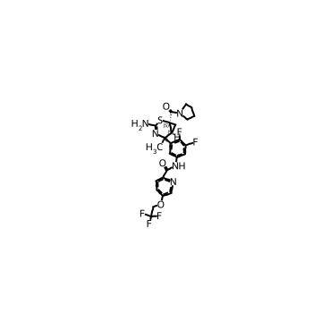 C[C@@]1(c2cc(NC(=O)c3ccc(OCC(F)(F)F)cn3)cc(F)c2F)N=C(N)S[C@@]2(C(=O)N3CCCC3)C[C@@H]12